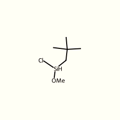 CO[SiH](Cl)CC(C)(C)C